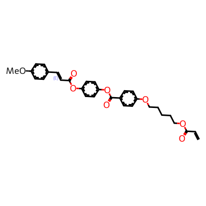 C=CC(=O)OCCCCCOc1ccc(C(=O)Oc2ccc(OC(=O)/C=C/c3ccc(OC)cc3)cc2)cc1